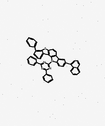 c1ccc(-c2nc(-c3ccccc3)nc(-n3c4ccc(-c5cccc6ccccc56)cc4c4ccc5sc6c(-c7ccccc7)cccc6c5c43)n2)cc1